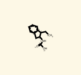 CCC1c2ccccc2CC1NC(=O)O